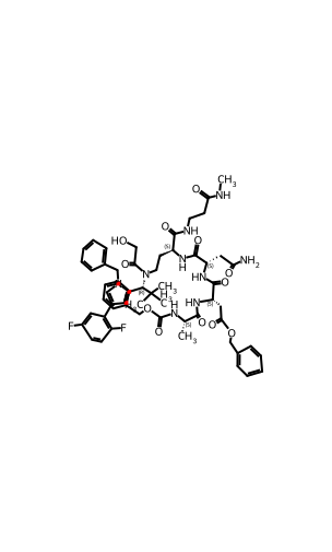 CNC(=O)CCNC(=O)[C@H](CCN(C(=O)CO)[C@@H](c1cc(-c2cc(F)ccc2F)cn1Cc1ccccc1)C(C)(C)C)NC(=O)[C@H](CC(N)=O)NC(=O)[C@H](CC(=O)OCc1ccccc1)NC(=O)[C@H](C)NC(=O)OCc1ccccc1